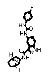 CN1[C@@H]2CC[C@H]1C[C@@H](NC(=O)c1n[nH]c3ccc(NC(=O)Nc4ccc(F)cc4)cc13)C2